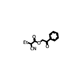 CCC(C#N)C(=O)OCC(=O)c1ccccc1